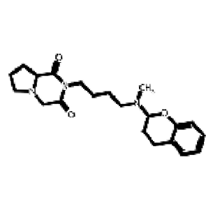 CN(CCCCN1C(=O)CN2CCCC2C1=O)C1CCc2ccccc2O1